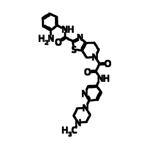 CN1CCN(c2ccc(NC(=O)C(=O)N3CCc4nc(C(=O)Nc5ccccc5N)sc4C3)cn2)CC1